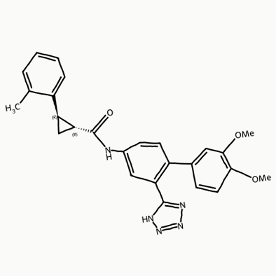 COc1ccc(-c2ccc(NC(=O)[C@@H]3C[C@H]3c3ccccc3C)cc2-c2nnn[nH]2)cc1OC